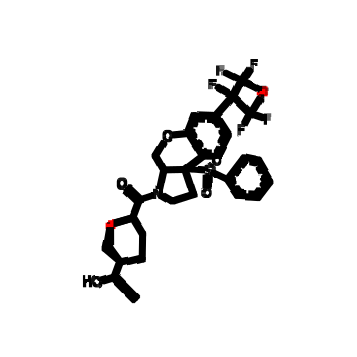 C=C(O)C12CCC(C(=O)N3CCC4(S(=O)(=O)c5ccccc5)c5ccc(C(F)(C(F)(F)F)C(F)(F)F)cc5OCC34)(CC1)CC2